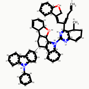 C=CC/C=C(\C=C1/COc2ccccc21)c1nc(-n2c3c(c4ccccc42)[C@H](c2ccc4c(c2)c2ccccc2n4-c2ccccc2)CC2C3OC3C=CC=CC32)nc2c1C(C)CC=C2